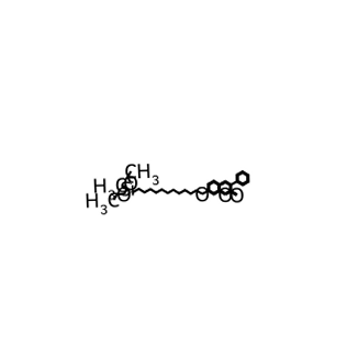 CCO[Si](C)(CCCCCCCCCCCCOc1ccc2cc(-c3ccccc3)c(=O)oc2c1)OCC